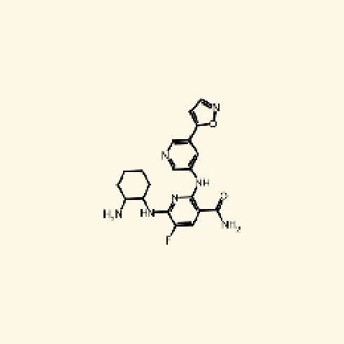 NC(=O)c1cc(F)c(NC2CCCCC2N)nc1Nc1cncc(-c2ccno2)c1